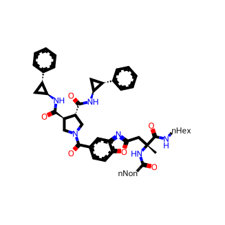 CCCCCCCCCC(=O)N[C@](C)(Cc1nc2cc(C(=O)N3C[C@@H](C(=O)N[C@H]4C[C@@H]4c4ccccc4)[C@H](C(=O)N[C@H]4C[C@@H]4c4ccccc4)C3)ccc2o1)C(=O)NCCCCCC